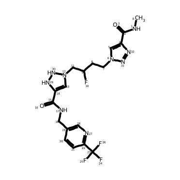 CNC(=O)c1cn(CCC(F)CN2C=C(C(=O)NCc3ccc(C(F)(F)F)nc3)NN2)nn1